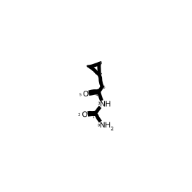 NC(=O)NC(=O)CC1CC1